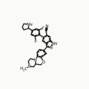 CN1CCN2c3ccc(-c4n[nH]c5cc(C#N)c(-c6c(F)cc(C7CCCN7)cc6F)cc45)cc3OCC2C1